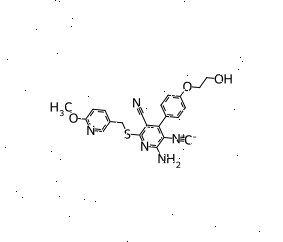 [C-]#[N+]c1c(N)nc(SCc2ccc(OC)nc2)c(C#N)c1-c1ccc(OCCO)cc1